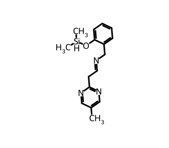 Cc1cnc(CC=NCc2ccccc2O[SiH](C)C)nc1